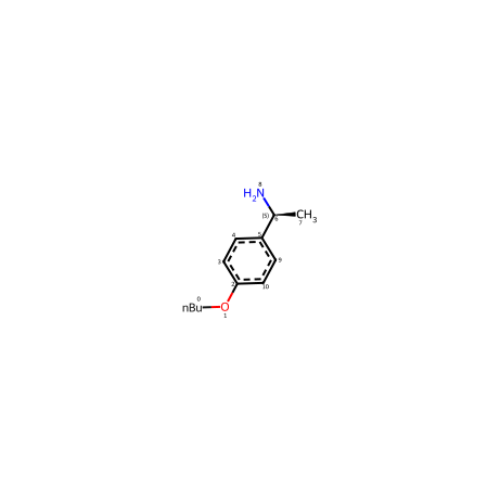 CCCCOc1ccc([C@H](C)N)cc1